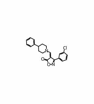 O=C1ON=C(c2cccc(Cl)c2)C1=CN1CCC(c2ccccc2)CC1